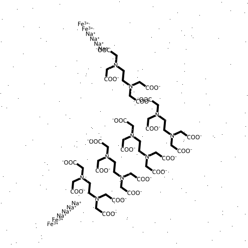 O=C([O-])CN(CCN(CC(=O)[O-])CC(=O)[O-])CC(=O)[O-].O=C([O-])CN(CCN(CC(=O)[O-])CC(=O)[O-])CC(=O)[O-].O=C([O-])CN(CCN(CC(=O)[O-])CC(=O)[O-])CC(=O)[O-].O=C([O-])CN(CCN(CC(=O)[O-])CC(=O)[O-])CC(=O)[O-].O=C([O-])CN(CCN(CC(=O)[O-])CC(=O)[O-])CC(=O)[O-].[Fe+3].[Fe+3].[Fe+3].[Fe+3].[Na+].[Na+].[Na+].[Na+].[Na+].[Na+].[Na+].[Na+]